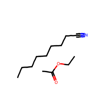 CCCCCCCCC#N.CCOC(C)=O